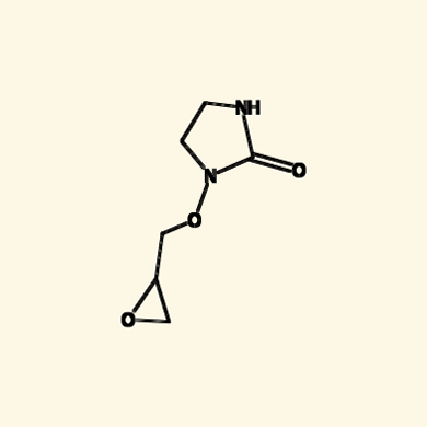 O=C1NCCN1OCC1CO1